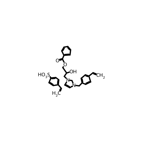 C=Cc1ccc(CN2C=CN(CC(O)COC(=O)c3ccccc3)C2)cc1.C=Cc1ccc(S(=O)(=O)O)cc1